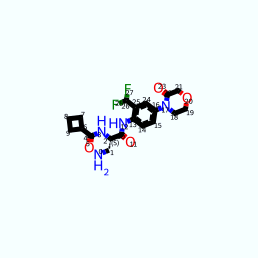 NC[C@H](NC(=O)C1CCC1)C(=O)Nc1ccc(N2CCOCC2=O)cc1C(F)F